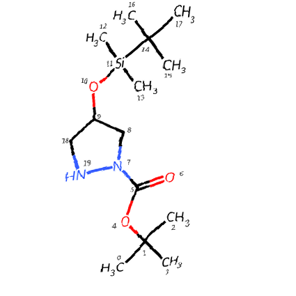 CC(C)(C)OC(=O)N1CC(O[Si](C)(C)C(C)(C)C)CN1